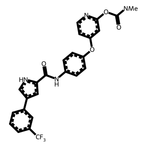 CNC(=O)Oc1cc(Oc2ccc(NC(=O)c3cc(-c4cccc(C(F)(F)F)c4)c[nH]3)cc2)ccn1